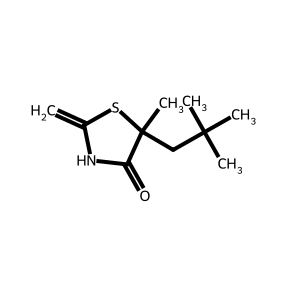 C=C1NC(=O)C(C)(CC(C)(C)C)S1